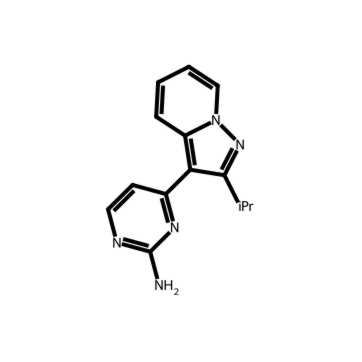 CC(C)c1nn2ccccc2c1-c1ccnc(N)n1